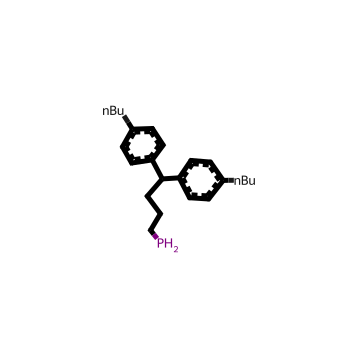 CCCCc1ccc(C(CCCP)c2ccc(CCCC)cc2)cc1